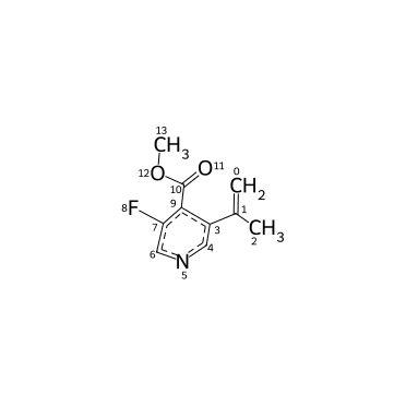 C=C(C)c1cncc(F)c1C(=O)OC